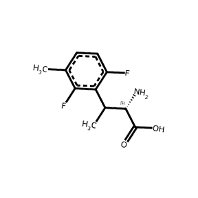 Cc1ccc(F)c(C(C)[C@H](N)C(=O)O)c1F